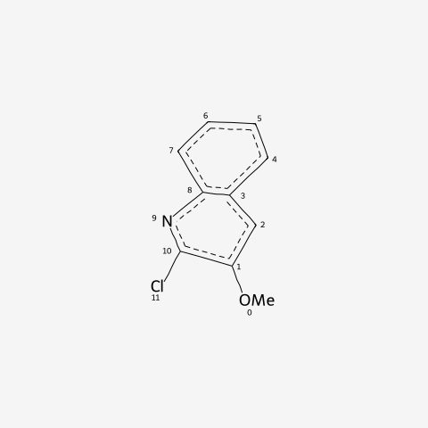 COc1cc2ccccc2nc1Cl